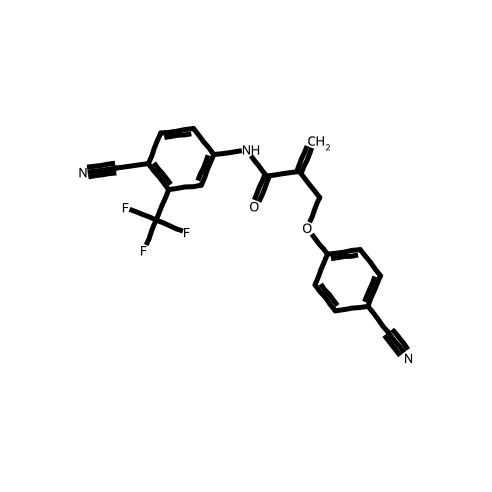 C=C(COc1ccc(C#N)cc1)C(=O)Nc1ccc(C#N)c(C(F)(F)F)c1